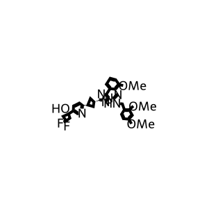 COc1ccc(CNc2nc3c(OC)cccc3c3nc([C@H]4C[C@@H](c5ccc(C6(O)CC(F)(F)C6)cn5)C4)nn23)c(OC)c1